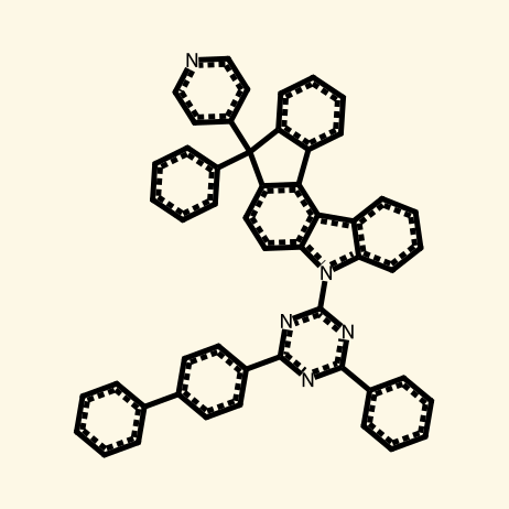 c1ccc(-c2ccc(-c3nc(-c4ccccc4)nc(-n4c5ccccc5c5c6c(ccc54)C(c4ccccc4)(c4ccncc4)c4ccccc4-6)n3)cc2)cc1